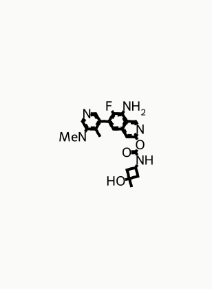 CNc1cncc(-c2cc3cc(OC(=O)NC4CC(C)(O)C4)ncc3c(N)c2F)c1C